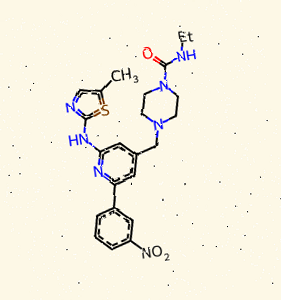 CCNC(=O)N1CCN(Cc2cc(Nc3ncc(C)s3)nc(-c3cccc([N+](=O)[O-])c3)c2)CC1